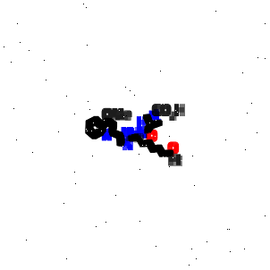 CCC(=O)CCCCC[C@H](NC(=O)C1CN(C(=O)O)C1)c1ncc(-c2cc(OC)c3ccccc3n2)[nH]1